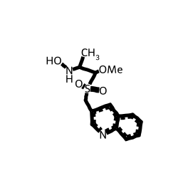 COC(C(C)NO)S(=O)(=O)Cc1cnc2ccccc2c1